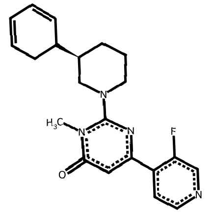 Cn1c(N2CCC[C@H](C3C=CC=CC3)C2)nc(-c2ccncc2F)cc1=O